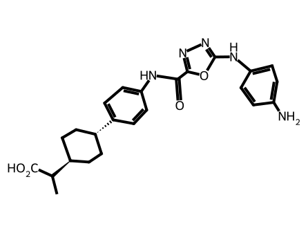 CC(C(=O)O)[C@H]1CC[C@H](c2ccc(NC(=O)c3nnc(Nc4ccc(N)cc4)o3)cc2)CC1